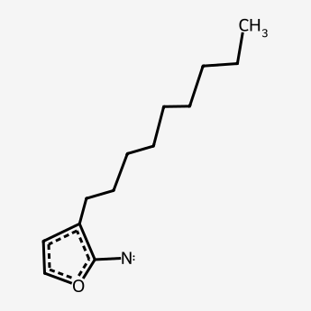 CCCCCCCCCc1ccoc1[N]